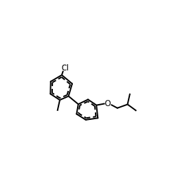 Cc1ccc(Cl)cc1-c1cccc(OCC(C)C)c1